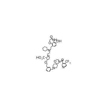 O=C1COc2c(CCN(CCN3CCC(OCCc4cccc(CN5CCC6(CC5)CN(C(=O)c5cnccc5C(F)(F)F)CCO6)c4)[C@H]3C(=O)O)C3CCCCC3)ccc(O)c2N1